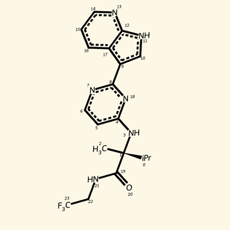 CC(C)[C@@](C)(Nc1ccnc(-c2c[nH]c3ncccc23)n1)C(=O)NCC(F)(F)F